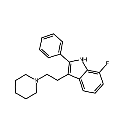 Fc1cccc2c(CCN3CCCCC3)c(-c3ccccc3)[nH]c12